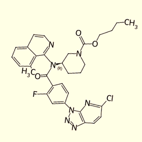 CCCCOC(=O)N1CCC[C@@H](N(C(=O)c2ccc(-n3nnc4ccc(Cl)nc43)cc2F)c2nccc3cccc(C)c23)C1